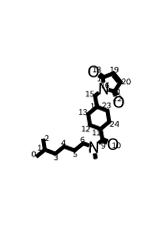 CC(C)CCCCN(C)C(=O)C1CCC(CN2C(=O)C=CC2=O)CC1